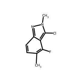 Cc1ccc2nn(C)c(Cl)c2c1F